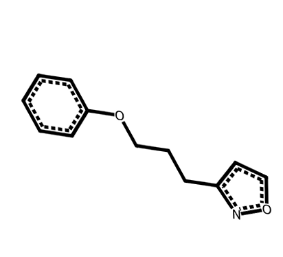 c1ccc(OCCCc2ccon2)cc1